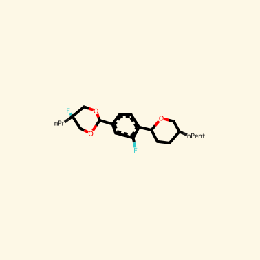 CCCCCC1CCC(c2ccc(C3OCC(F)(CCC)CO3)cc2F)OC1